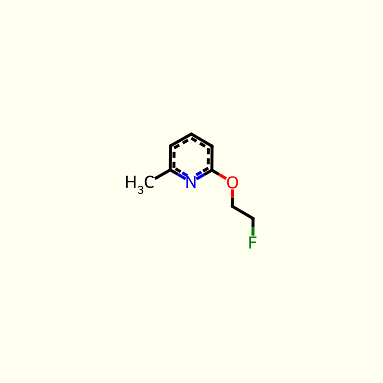 Cc1cccc(OCCF)n1